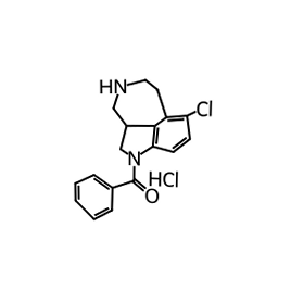 Cl.O=C(c1ccccc1)N1CC2CNCCc3c(Cl)ccc1c32